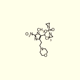 Cn1c([N+](=O)[O-])nc(CCN2CCOCC2)c1C(OP(=O)(N1CC1)N1CC1)C(F)(F)F